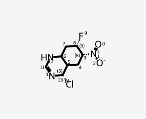 O=[N+]([O-])[C@@H]1CC2C(C[C@@H]1F)NC=N[C@H]2Cl